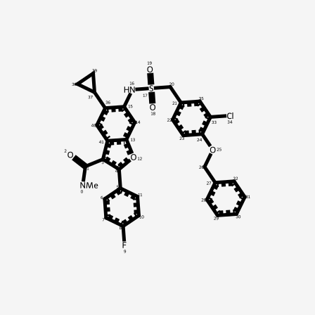 CNC(=O)c1c(-c2ccc(F)cc2)oc2cc(NS(=O)(=O)Cc3ccc(OCc4ccccc4)c(Cl)c3)c(C3CC3)cc12